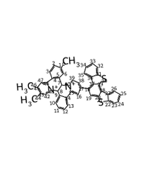 Cc1ccc2c(c1)C1C(c3ccccc3-c3cc(-c4cc5sc6ccccc6c5c5sc6ccccc6c45)cc[n+]31)[n+]1cc(C)c(C)cc1-2